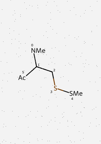 CNC(CSSC)C(C)=O